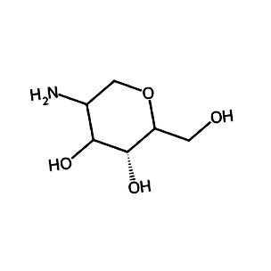 NC1COC(CO)[C@H](O)C1O